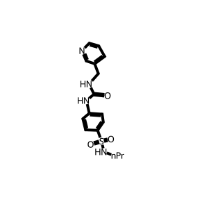 CCCNS(=O)(=O)c1ccc(NC(=O)NCc2cccnc2)cc1